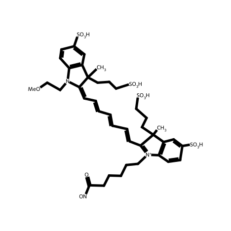 COCCN1/C(=C/C=C/C=C/C=C/C2=[N+](CCCCCC(=O)N=O)c3ccc(S(=O)(=O)O)cc3C2(C)CCCS(=O)(=O)O)C(C)(CCCS(=O)(=O)O)c2cc(S(=O)(=O)O)ccc21